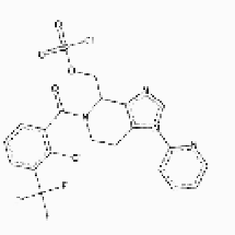 O=C(c1cccc(C(F)(F)F)c1Cl)N1CCc2c(ncn2-c2ccccn2)C1COS(=O)(=O)Cl